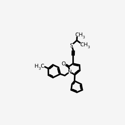 Cc1ccc(Cn2c(-c3ccccc3)ccc(C#CSC(C)C)c2=O)cc1